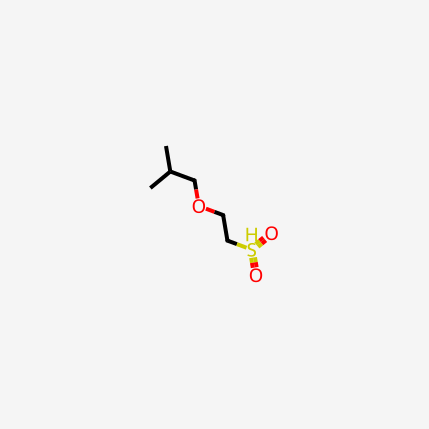 CC(C)COCC[SH](=O)=O